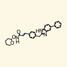 O=C(/C=C/c1ccc(Cc2nc3cc(-c4ccccc4)ccc3[nH]2)cc1)NOC1CCCCO1